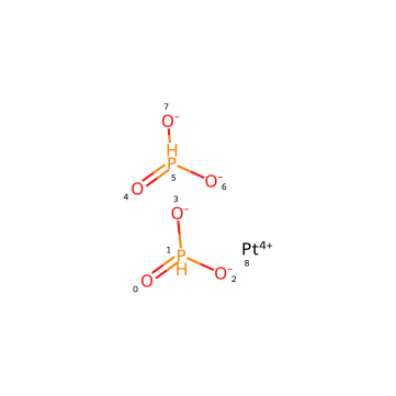 O=[PH]([O-])[O-].O=[PH]([O-])[O-].[Pt+4]